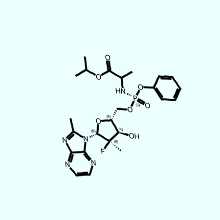 Cc1nc2nccnc2n1[C@@H]1O[C@H](CO[P@@](=O)(NC(C)C(=O)OC(C)C)Oc2ccccc2)[C@@H](O)[C@@]1(C)F